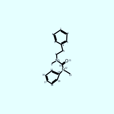 CN(CCc1ccccc1)C(=O)N(C)c1ccccc1